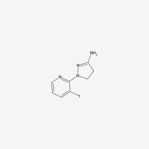 NC1=NN(c2ncccc2I)CC1